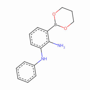 Nc1c(Nc2ccccc2)cccc1B1OCCCO1